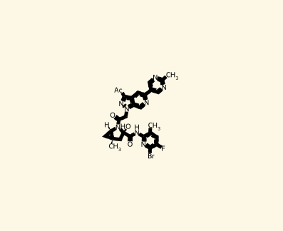 CC(=O)c1nn(CC(=O)N2[C@@H]3C[C@]3(C)C[C@@]2(O)C(=O)Nc2nc(Br)c(F)cc2C)c2cnc(-c3cnc(C)nc3)cc12